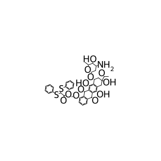 CC(=O)[C@]1(O)Cc2c(O)c3c(c(O)c2[C@@H](OC2CC(N)C(O)C(C)O2)C1)C(=O)c1c(OCOC(=O)C(Sc2ccccc2)Sc2ccccc2)cccc1C3=O